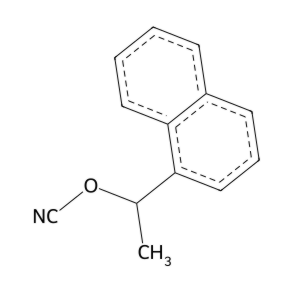 CC(OC#N)c1cccc2ccccc12